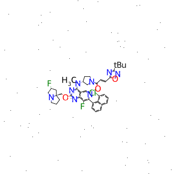 CN(c1nc(OC[C@@]23CCCN2C[C@H](F)C3)nc2c(F)c(-c3cccc4cccc(Cl)c34)ncc12)[C@@H]1CCN(C(=O)/C=C/c2nc(C(C)(C)C)no2)C1